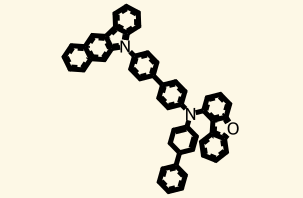 C1=CC(c2ccccc2)CC=C1N(c1ccc(-c2ccc(-n3c4ccccc4c4cc5ccccc5cc43)cc2)cc1)c1cccc2oc3ccccc3c12